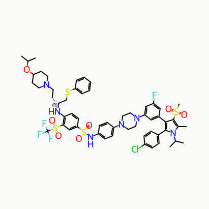 Cc1c(S(C)(=O)=O)c(-c2cc(F)cc(N3CCN(c4ccc(NS(=O)(=O)c5ccc(N[C@H](CCN6CCC(OC(C)C)CC6)CSc6ccccc6)c(S(=O)(=O)C(F)(F)F)c5)cc4)CC3)c2)c(-c2ccc(Cl)cc2)n1C(C)C